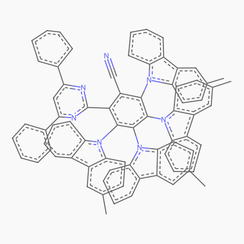 Cc1ccc2c(c1)c1ccccc1n2-c1c(C#N)c(-c2nc(-c3ccccc3)cc(-c3ccccc3)n2)c(-n2c3ccccc3c3cc(C)ccc32)c(-n2c3ccccc3c3cc(C)ccc32)c1-n1c2ccccc2c2cc(C)ccc21